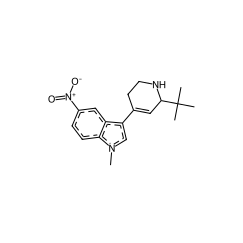 Cn1cc(C2=CC(C(C)(C)C)NCC2)c2cc([N+](=O)[O-])ccc21